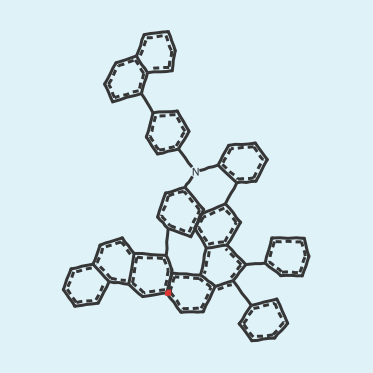 c1ccc(-c2c(-c3ccccc3)c3cc(-c4ccccc4N(c4ccc(-c5cccc6ccccc56)cc4)c4ccc(-c5cccc6c5ccc5ccccc56)cc4)ccc3c3ccccc23)cc1